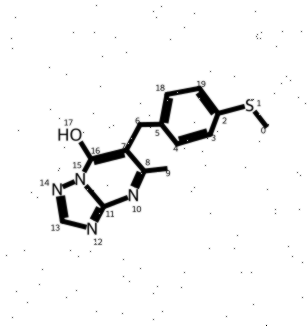 CSc1ccc(Cc2c(C)nc3ncnn3c2O)cc1